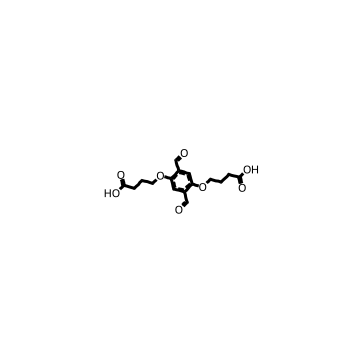 O=Cc1cc(OCCCC(=O)O)c(C=O)cc1OCCCC(=O)O